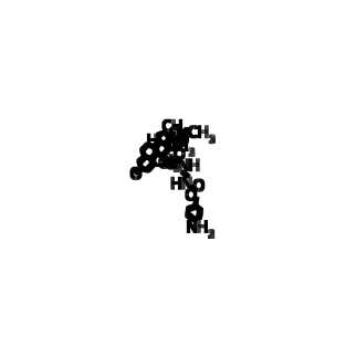 CCC(=O)O[C@]1(C(=O)COC(=O)NCCNC(=O)OCc2ccc(N)cc2)[C@@H](C)CC2[C@@H]3CCC4=CC(=O)C=C[C@]4(C)[C@@]3(Cl)[C@@H](O)C[C@@]21C